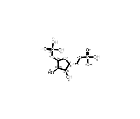 O=P(O)(O)OC[C@H]1O[C@H](OP(=O)(O)O)[C@H](O)[C@@H]1O